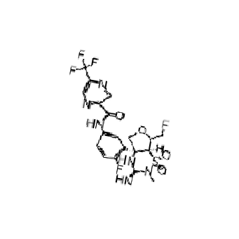 CN1C(=N)N[C@@]2(c3cc(NC(=O)c4cnc(C(F)(F)F)cn4)ccc3F)CO[C@@H](CF)[C@H]2S1(=O)=O